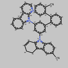 N#Cc1ccc2c(c1)c1c(n2-c2cc(-c3ccccc3-c3ccccc3C#N)cc(-n3c4ccccc4c4cccnc43)c2)C=CCC1